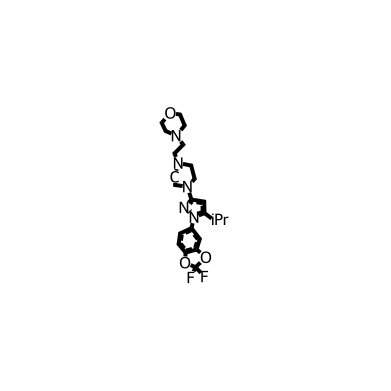 CC(C)c1cc(N2CCN(CCN3CCOCC3)CC2)nn1-c1ccc2c(c1)OC(F)(F)O2